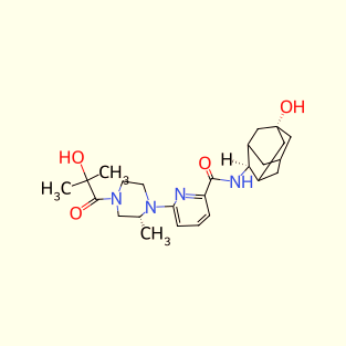 C[C@@H]1CN(C(=O)C(C)(C)O)CCN1c1cccc(C(=O)N[C@H]2C3CC4CC2C[C@](O)(C4)C3)n1